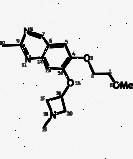 COCCOc1cc2cnc(C)nc2cc1OC1CN(C)C1